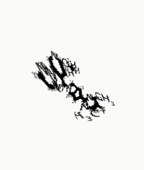 [2H]C([2H])([2H])Oc1cc(C(=O)N2CC3C=C(c4nc(C)c(F)c(C)n4)CC3C2)c(-n2nccn2)cn1